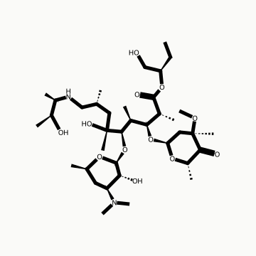 CC[C@H](CO)OC(=O)[C@H](C)[C@@H](O[C@H]1C[C@@](C)(OC)C(=O)[C@H](C)O1)[C@H](C)[C@@H](O[C@@H]1O[C@H](C)C[C@H](N(C)C)[C@H]1O)[C@](C)(O)C[C@@H](C)CN[C@H](C)[C@H](C)O